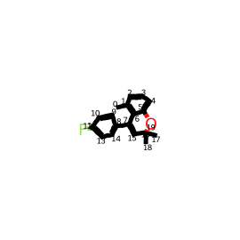 Cc1cccc2c1C(c1ccc(F)cc1)=CC(C)(C)O2